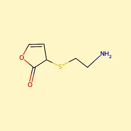 NCCSC1C=COC1=O